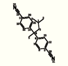 CC(C)CC(C)(c1ccc(C#N)cc1)c1ccc(C#N)cc1